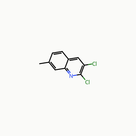 Cc1ccc2cc(Cl)c(Cl)nc2c1